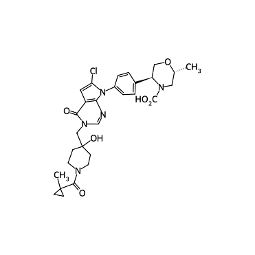 C[C@@H]1CN(C(=O)O)[C@@H](c2ccc(-n3c(Cl)cc4c(=O)n(CC5(O)CCN(C(=O)C6(C)CC6)CC5)cnc43)cc2)CO1